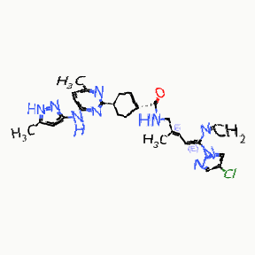 C=N/C(=C\C=C(/C)CNC(=O)[C@H]1CC[C@H](c2nc(C)cc(Nc3cc(C)[nH]n3)n2)CC1)n1cc(Cl)cn1